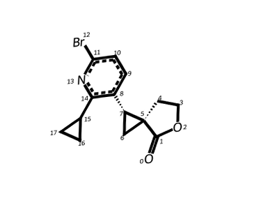 O=C1OCC[C@@]12C[C@@H]2c1ccc(Br)nc1C1CC1